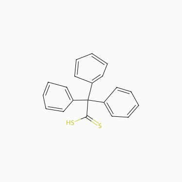 S=C(S)C(c1ccccc1)(c1ccccc1)c1ccccc1